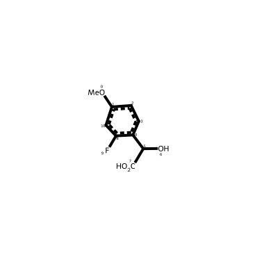 COc1ccc(C(O)C(=O)O)c(F)c1